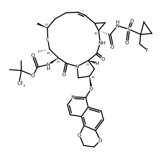 C[C@H]1CC/C=C\C2C[C@@]2(C(=O)NS(=O)(=O)C2(CF)CC2)NC(=O)[C@@H]2C[C@@H](Oc3nccc4c5c(ccc34)OCCO5)CN2C(=O)[C@@H](NC(=O)OC(C)(C)C(F)(F)F)[C@H](C)C1